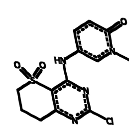 Cn1cc(Nc2nc(Cl)nc3c2S(=O)(=O)CCC3)ccc1=O